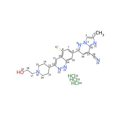 Cc1cn2nc(-c3cc(F)c4cc(C5CCN(CCO)CC5)nnc4c3)cc(C#N)c2n1.Cl.Cl.Cl